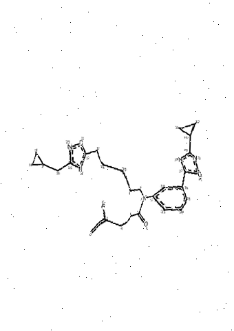 C=C(F)CCC(=O)N(CCCCCc1nc(CC2CC2)no1)c1cccc(-c2nc(C3CC3)no2)c1